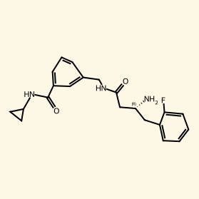 N[C@@H](CC(=O)NCc1cccc(C(=O)NC2CC2)c1)Cc1ccccc1F